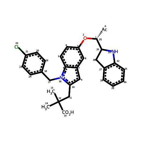 CC(=O)[C@@H](Oc1ccc2c(c1)cc(CC(C)(C)C(=O)O)n2Cc1ccc(Cl)cc1)C1Cc2ccccc2N1